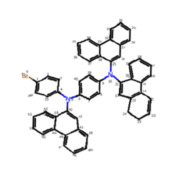 Brc1ccc(N(c2ccc(N(c3cc4c(c5ccccc35)C=CCC4)c3cc4ccccc4c4ccccc34)cc2)c2cc3ccccc3c3ccccc23)cc1